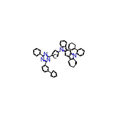 C1#Cc2c(c3cc4c(cc3n2-c2ccccc2C2=CC=CCC2)c2ccccc2n4-c2ccc(-c3nc(-c4ccccc4)nc(-c4cccc(-c5ccccc5)c4)n3)cc2)C=CC1